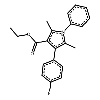 CCOC(=O)c1c(-c2ccc(F)cc2)c(C)n(-c2ccccc2)c1C